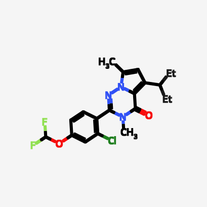 CCC(CC)c1cc(C)n2nc(-c3ccc(OC(F)F)cc3Cl)n(C)c(=O)c12